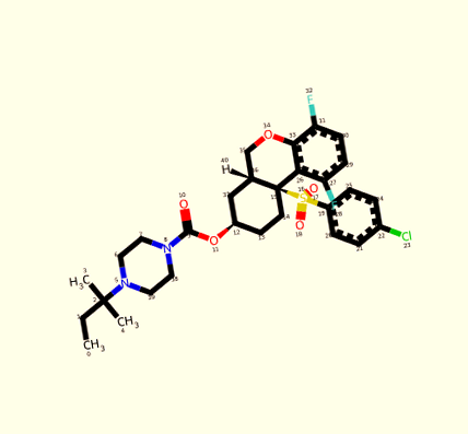 CCC(C)(C)N1CCN(C(=O)O[C@@H]2CC[C@@]3(S(=O)(=O)c4ccc(Cl)cc4)c4c(F)ccc(F)c4OC[C@H]3C2)CC1